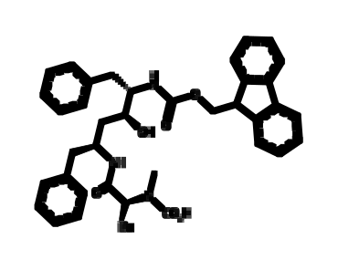 CC[C@H](C)[C@@H](C(=O)N[C@@H](Cc1ccccc1)C[C@H](O)[C@H](Cc1ccccc1)NC(=O)OCC1c2ccccc2-c2ccccc21)N(C)C(=O)O